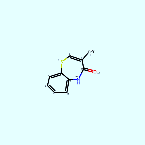 CCCC1=CSc2ccccc2NC1=O